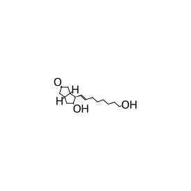 O=C1C[C@H]2C[C@@H](O)[C@H](C=CCCCCCCO)[C@H]2C1